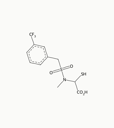 CN(C(S)C(=O)O)S(=O)(=O)Cc1cccc(C(F)(F)F)c1